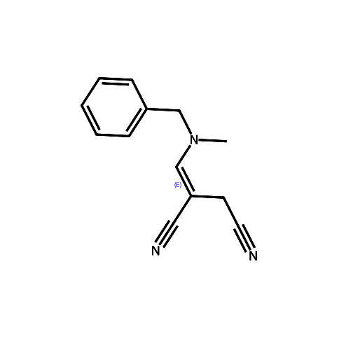 CN(/C=C(/C#N)CC#N)Cc1ccccc1